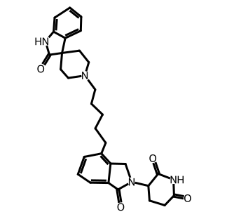 O=C1CCC(N2Cc3c(CCCCCN4CCC5(CC4)C(=O)Nc4ccccc45)cccc3C2=O)C(=O)N1